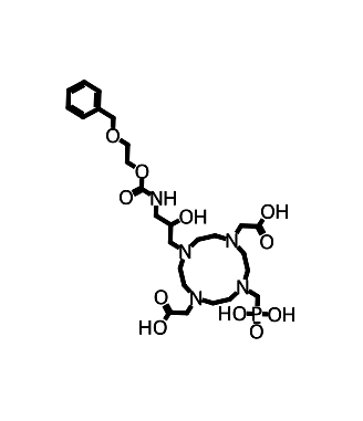 O=C(O)CN1CCN(CC(O)CNC(=O)OCCOCc2ccccc2)CCN(CC(=O)O)CCN(CP(=O)(O)O)CC1